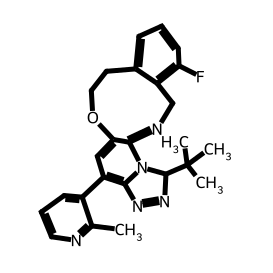 Cc1ncccc1C1=C2N=NC(C(C)(C)C)N2C2=NCc3c(F)cccc3CCOC2=C1